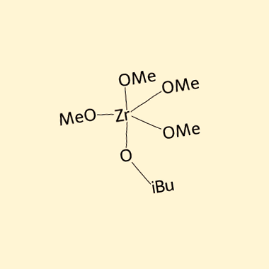 CCC(C)[O][Zr]([O]C)([O]C)([O]C)[O]C